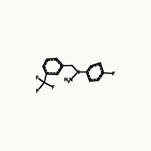 NN(Cc1cccc(C(F)(F)F)c1)c1ccc(F)cc1